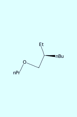 CCCC[C@H](CC)COCCC